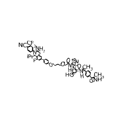 CC1=C(c2ccc([C@H](C)NC(=O)[C@@H]3C[C@@H](O)CN3C(=O)[C@@H](NC(=O)COCCCCOc3ccc(-c4ccc(C(C(C)C)N(C(N)=S)c5ccc(C#N)c(C(F)(F)F)c5)c(F)c4)cc3)C(C)(C)C)cc2)OCN1